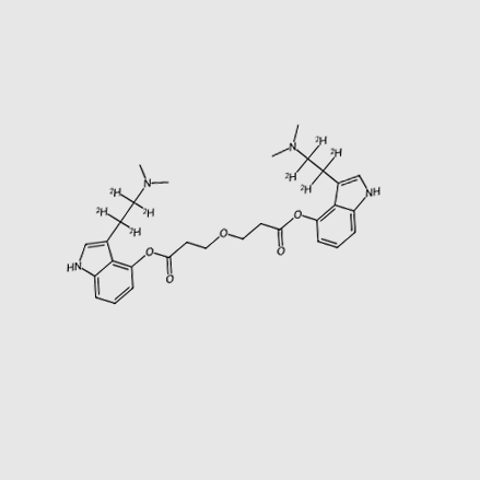 [2H]C([2H])(c1c[nH]c2cccc(OC(=O)CCOCCC(=O)Oc3cccc4[nH]cc(C([2H])([2H])C([2H])([2H])N(C)C)c34)c12)C([2H])([2H])N(C)C